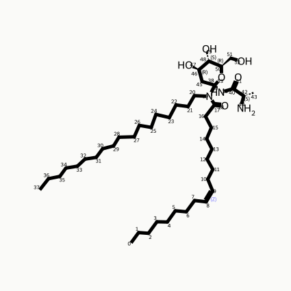 CCCCCCCC/C=C\CCCCCCCC(=O)N(CCCCCCCCCCCCCCCCCC)[C@@]1(NC(=O)[C@H](C)N)C[C@@H](O)[C@H](O)[C@@H](CO)O1